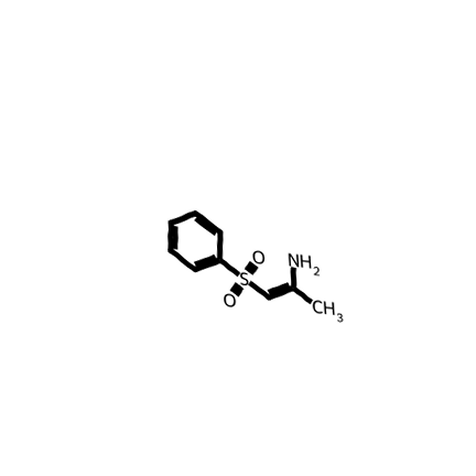 CC(N)=CS(=O)(=O)c1ccccc1